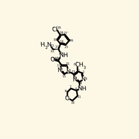 Cc1cnc(NC2CCOCC2)nc1-n1cnc(C(=O)N[C@@H](CN)c2cccc(Cl)c2)c1